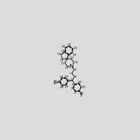 Fc1ccc(C(CCCN2CCC3(CCc4ccccc43)CC2)c2ccc(F)cc2)cc1